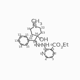 CCOC(=O)c1cccnc1N/N=C(/c1ccccc1)C1(O)CCN(C)CC1